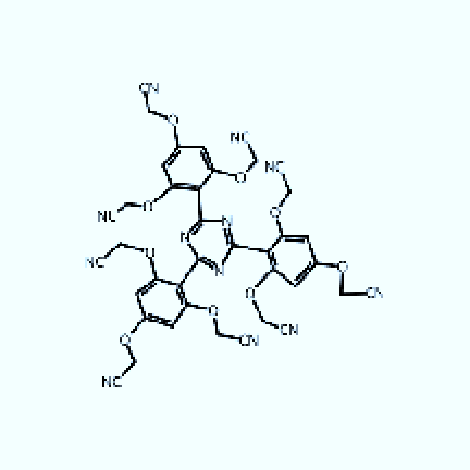 N#CCOc1cc(OCC#N)c(-c2nc(-c3c(OCC#N)cc(OCC#N)cc3OCC#N)nc(-c3c(OCC#N)cc(OCC#N)cc3OCC#N)n2)c(OCC#N)c1